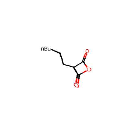 CCCCCCC1C(=O)OC1=O